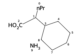 CCCC(C(=O)O)C1CCCCC1.N